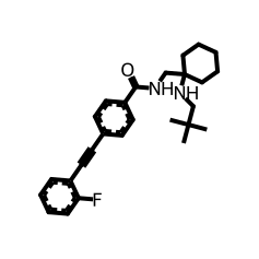 CC(C)(C)CNC1(CNC(=O)c2ccc(C#Cc3ccccc3F)cc2)CCCCC1